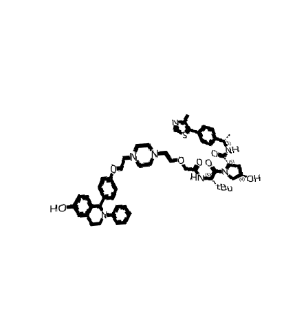 Cc1ncsc1-c1ccc([C@H](C)NC(=O)[C@@H]2C[C@@H](O)CN2C(=O)[C@@H](NC(=O)COCCN2CCN(CCOc3ccc(C4c5ccc(O)cc5CCN4c4ccccc4)cc3)CC2)C(C)(C)C)cc1